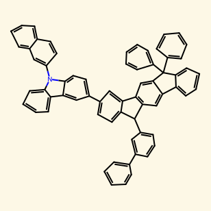 c1ccc(-c2cccc(C3c4ccc(-c5ccc6c(c5)c5ccccc5n6-c5ccc6ccccc6c5)cc4-c4cc5c(cc43)-c3ccccc3C5(c3ccccc3)c3ccccc3)c2)cc1